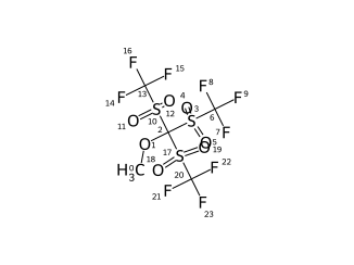 COC(S(=O)(=O)C(F)(F)F)(S(=O)(=O)C(F)(F)F)S(=O)(=O)C(F)(F)F